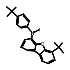 CC(C)(C)c1ccc(N(I)c2cccc3c2oc2c(C(C)(C)C)cccc23)cc1